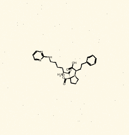 N[C@@H](CCCCNc1ncccn1)C(=O)[C@@]1(C(=O)O)CCCN1C(CCc1ccccc1)C(=O)O